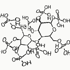 O=P(O)(O)OCC1O[C@@H](O[C@@H]2C(COP(=O)(O)O)OC(OP(=O)(O)O)C(OP(=O)(O)O)[C@H]2O[PH](O)(O)O)[C@@H](OP(=O)(O)O)C(OP(=O)(O)O)[C@H]1OP(=O)(O)O